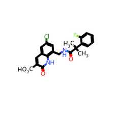 CC(C)(C(=O)NCc1cc(Cl)cc2cc(C(=O)O)c(=O)[nH]c12)c1ccccc1F